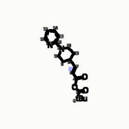 CC(C)(C)C(=O)OC(=O)/C=C/C1CCN(c2ccccn2)CC1